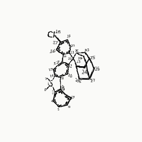 CS1(C)c2ccccc2-c2cc3c(cc21)-c1cc(Cl)ccc1C31C2CC3CC(C2)CC1C3